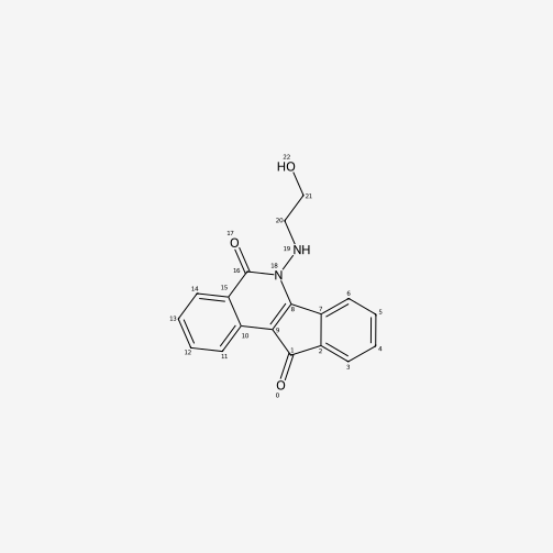 O=C1c2ccccc2-c2c1c1ccccc1c(=O)n2NCCO